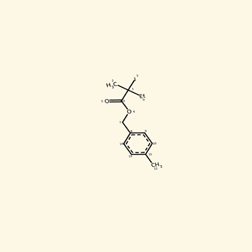 CCC(C)(I)C(=O)OCc1ccc(C)cc1